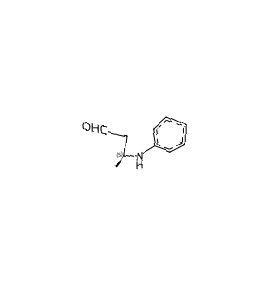 C[C@@H](CC=O)Nc1ccccc1